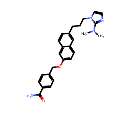 CN(C)c1nccn1CCCc1ccc2cc(OCc3ccc(C(N)=O)cc3)ccc2c1